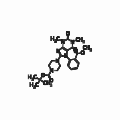 COC(=O)c1ccccc1-n1c(N2CCN(C(=O)OC(C)(C)C)CC2)nc2c1c(=O)n(C)c(=O)n2C